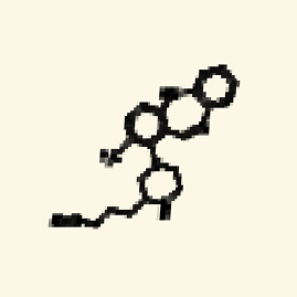 COCCCC1CN(c2c(C(F)(F)F)ccc3c2C=Nc2ccccc2N3)CCN1